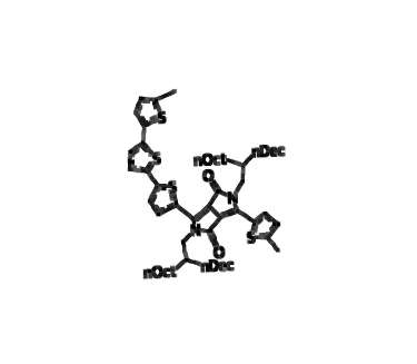 CCCCCCCCCCC(CCCCCCCC)CN1C(=O)C2=C(c3ccc(-c4ccc(-c5ccc(C)s5)s4)s3)N(CC(CCCCCCCC)CCCCCCCCCC)C(=O)C2=C1c1ccc(C)s1